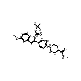 COc1ccc2c(c1)cc(-c1ccc(N3CCC(C(N)=O)CC3)nc1)n2C(=O)OC(C)(C)C